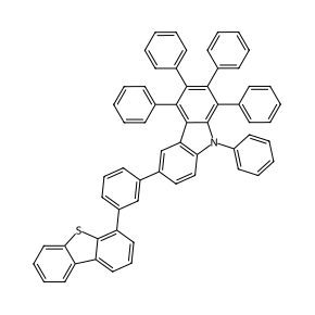 c1ccc(-c2c(-c3ccccc3)c(-c3ccccc3)c3c(c2-c2ccccc2)c2cc(-c4cccc(-c5cccc6c5sc5ccccc56)c4)ccc2n3-c2ccccc2)cc1